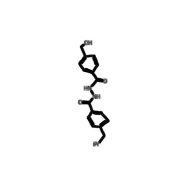 CC(C)Cc1ccc(C(=O)NNC(=O)c2ccc(CO)cc2)cc1